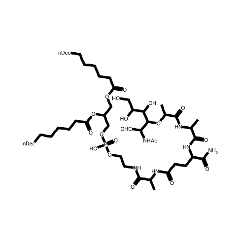 CCCCCCCCCCCCCCCC(=O)OCC(COP(=O)(O)OCCNC(=O)C(C)NC(=O)CCC(NC(=O)C(C)NC(=O)C(C)OC(C(C=O)NC(C)=O)C(O)C(O)CO)C(N)=O)OC(=O)CCCCCCCCCCCCCCC